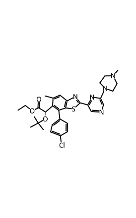 CCOC(=O)[C@@H](OC(C)(C)C)c1c(C)cc2nc(-c3cncc(N4CCN(C)CC4)n3)sc2c1-c1ccc(Cl)cc1